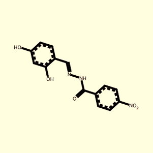 O=C(NN=Cc1ccc(O)cc1O)c1ccc([N+](=O)[O-])cc1